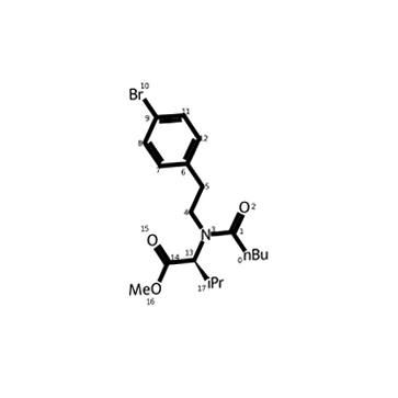 CCCCC(=O)N(CCc1ccc(Br)cc1)[C@H](C(=O)OC)C(C)C